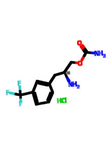 Cl.NC(=O)OC[C@@H](N)Cc1cccc(C(F)(F)F)c1